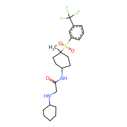 CC1(S(=O)(=O)c2cccc(C(F)(F)F)c2)CCC(NC(=O)CNC2CCCCC2)CC1